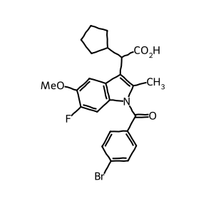 COc1cc2c(C(C(=O)O)C3CCCC3)c(C)n(C(=O)c3ccc(Br)cc3)c2cc1F